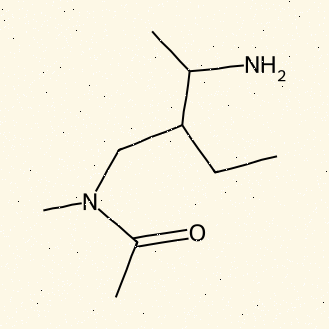 CCC(CN(C)C(C)=O)C(C)N